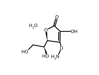 NOC1=C(O)C(=O)O[C@@H]1[C@@H](O)CO.O